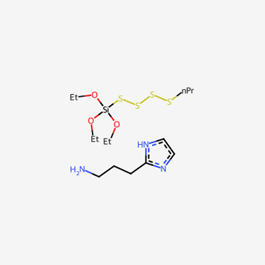 CCCSSSS[Si](OCC)(OCC)OCC.NCCCc1ncc[nH]1